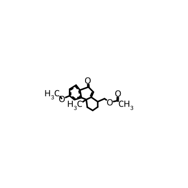 COc1ccc2c(c1)C1(C)CCCC(COC(C)=O)C1=CC2=O